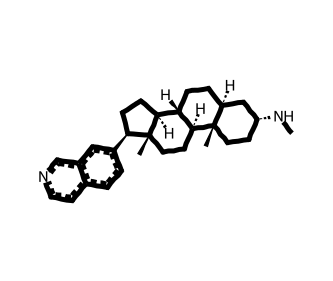 CN[C@@H]1CC[C@@]2(C)[C@@H](CC[C@@H]3[C@@H]2CC[C@]2(C)[C@@H](c4ccc5ccncc5c4)CC[C@@H]32)C1